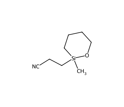 C[Si]1(CCC#N)CCCCO1